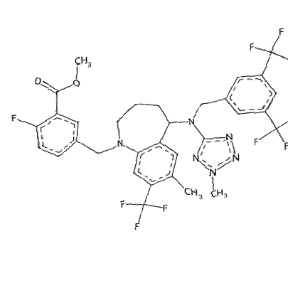 COC(=O)c1cc(CN2CCCC(N(Cc3cc(C(F)(F)F)cc(C(F)(F)F)c3)c3nnn(C)n3)c3cc(C)c(C(F)(F)F)cc32)ccc1F